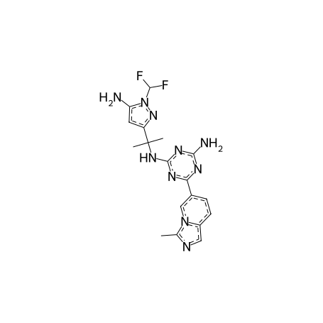 Cc1ncc2ccc(-c3nc(N)nc(NC(C)(C)c4cc(N)n(C(F)F)n4)n3)cn12